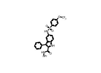 CCCNC(=O)c1[nH]c2ccc(NS(=O)(=O)c3ccc(OC(F)(F)F)cc3)cc2c1-c1ccccc1